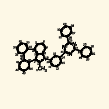 Cc1c2c3c(cccc3n1-c1cccc(-c3nc(-c4ccccc4)nc(-c4ccccc4)n3)c1)-c1ccccc1-c1ccccc1-2